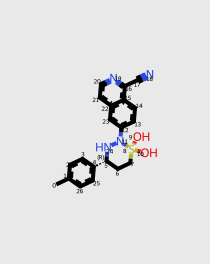 Cc1ccc([C@H]2CCS(O)(O)N(c3ccc4c(C#N)nccc4c3)N2)cc1